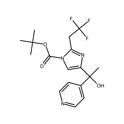 CC(C)(C)OC(=O)n1cc(C(C)(O)c2ccncc2)nc1CC(F)(F)F